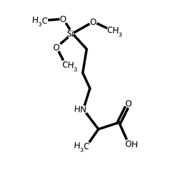 CO[Si](CCCNC(C)C(=O)O)(OC)OC